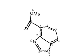 COC(=O)c1cccc2ocnc12